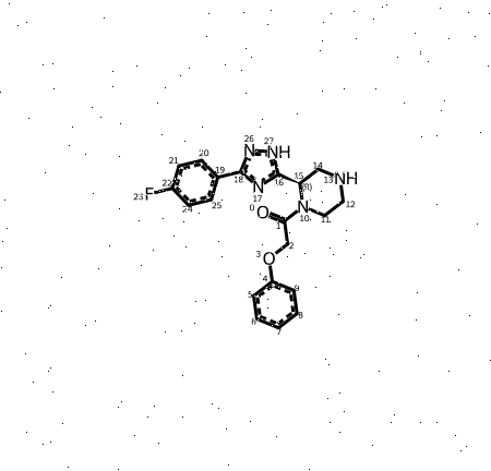 O=C(COc1ccccc1)N1CCNC[C@@H]1c1nc(-c2ccc(F)cc2)n[nH]1